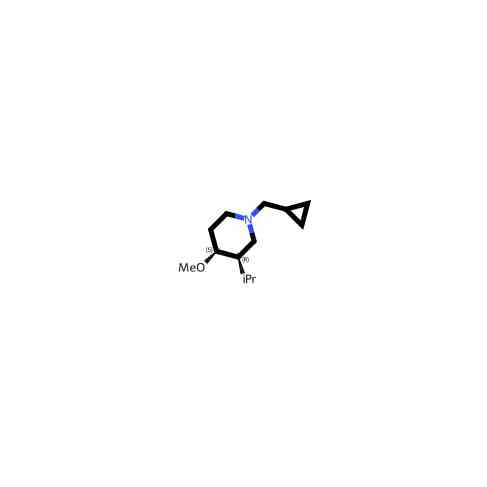 CO[C@H]1CCN(CC2CC2)C[C@H]1C(C)C